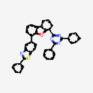 c1ccc(-c2nc(-c3ccccc3)nc(-c3cccc4c3oc3c(-c5ccc6sc(-c7ccccc7)nc6c5)cccc34)n2)cc1